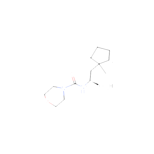 CC1(C[C@H](NC(=O)N2CCOCC2)C(=O)O)CCCC1